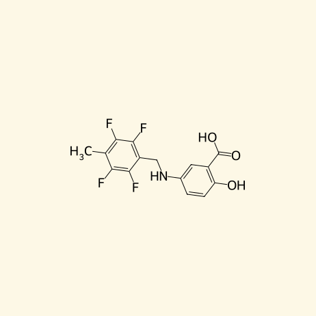 Cc1c(F)c(F)c(CNc2ccc(O)c(C(=O)O)c2)c(F)c1F